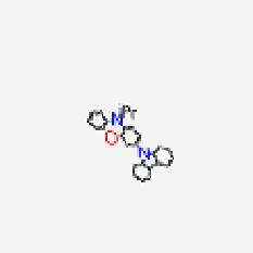 CC(C)N1c2ccccc2Oc2cc(-n3c4ccccc4c4ccccc43)ccc21